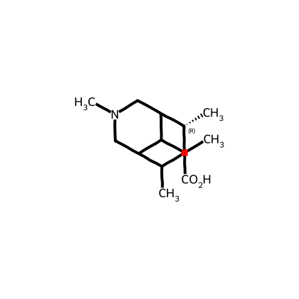 CC1C[C@@H](C)C2CN(C)CC1C2C(C)C(=O)O